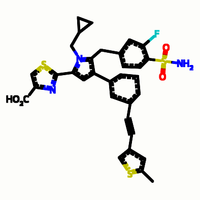 Cc1cc(C#Cc2cccc(-c3cc(-c4nc(C(=O)O)cs4)n(CC4CC4)c3Cc3ccc(S(N)(=O)=O)c(F)c3)c2)cs1